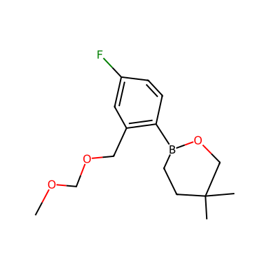 COCOCc1cc(F)ccc1B1CCC(C)(C)CO1